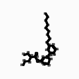 CCCCCCCCCc1cccc(N2C=C(OC(=O)C(CC)CCC)N=CC2)c1